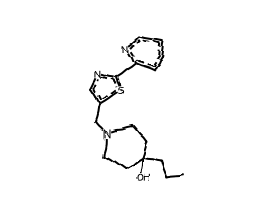 CCCC1(O)CCN(Cc2cnc(-c3ccccn3)s2)CC1